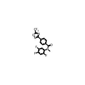 CN(C(=O)c1ccc(-c2noc(C(F)(F)F)n2)cc1)c1cc(F)c(F)cc1F